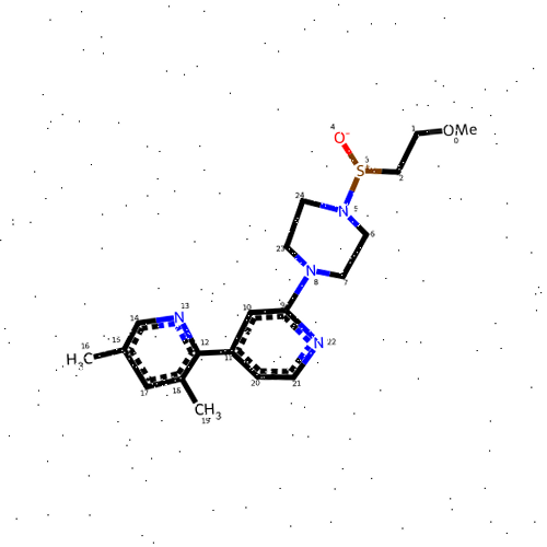 COCC[S+]([O-])N1CCN(c2cc(-c3ncc(C)cc3C)ccn2)CC1